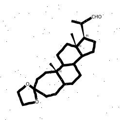 CC(C=O)[C@H]1CCC2C3CCC4CCC5(CC[C@]4(C)C3CC[C@@]21C)OCCO5